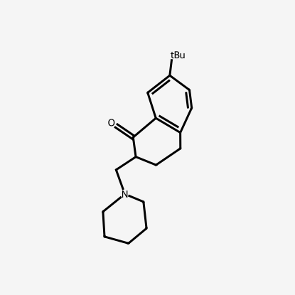 CC(C)(C)c1ccc2c(c1)C(=O)C(CN1CCCCC1)CC2